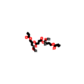 C=CC(=O)OCCC[SiH](OCC)OC(=O)CCC(=O)O[SiH](CCCOC(=O)C=C)OCC